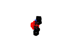 O=S(=O)(ON1CCc2ccccc21)ON1CCc2ccccc21